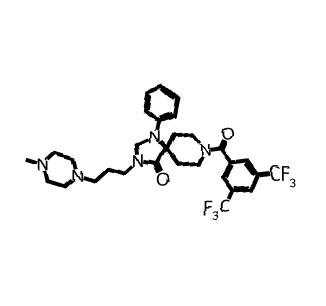 CN1CCN(CCCN2CN(c3ccccc3)C3(CCN(C(=O)c4cc(C(F)(F)F)cc(C(F)(F)F)c4)CC3)C2=O)CC1